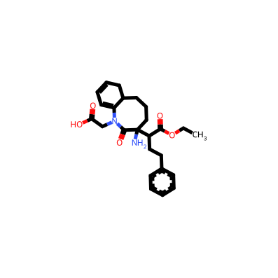 CCOC(=O)C(CCc1ccccc1)C1(N)CCCC2CC=CC=C2N(CC(=O)O)C1=O